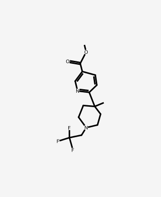 COC(=O)c1ccc(C2(C)CCN(CC(F)(F)F)CC2)nc1